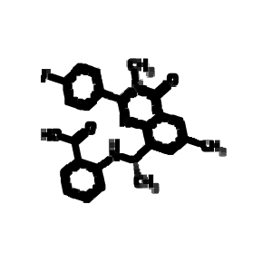 Cc1cc([C@H](C)Nc2ccccc2C(=O)O)c2nc(-c3ccc(F)cc3)n(C)c(=O)c2c1